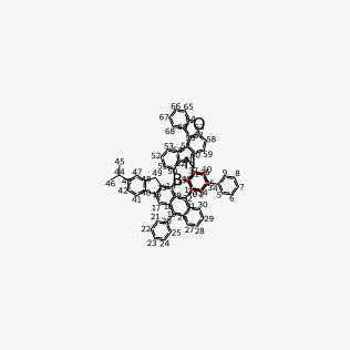 Cc1cc(-c2ccccc2)cc2c1B(c1c3c(cc4c(-c5ccccc5)c5ccccc5c(-c5ccccc5)c14)-c1ccc(C(C)C)cc1C3)c1cccc3c4c5c(ccc4n-2c13)oc1ccccc15